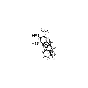 CC(C)c1cc2c(c(O)c1O)C[C@@]13CCCC(C)(C)[C@@H]1C[C@@H]2O3